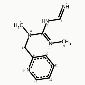 CN=C(NC=N)N(C)Cc1cc[c]cn1